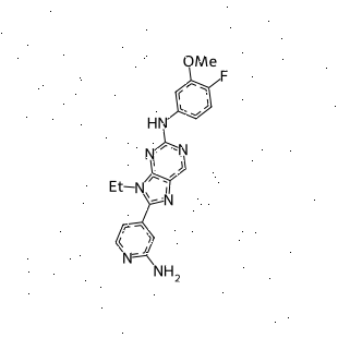 CCn1c(-c2ccnc(N)c2)nc2cnc(Nc3ccc(F)c(OC)c3)nc21